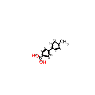 CC1C=CC(c2ccc(B(O)O)cc2)=CC1